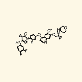 COc1cc2c(Oc3ccc(NC(=O)C4(C(=O)Nc5ccc(F)c(F)c5)CC4)c(F)c3)ccnc2cc1OCC1(NC2CCOCC2)CC1